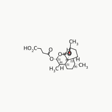 C[C@H]1[C@H](OC(=O)CCC(=O)O)O[C@@H]2OC3(C)CC[C@H]4[C@H](C)CC[C@@H]1[C@@]24OO3